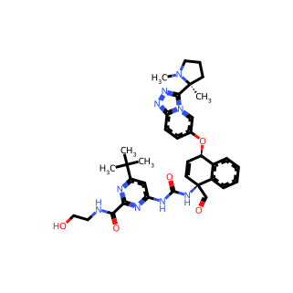 CN1CCC[C@@]1(C)c1nnc2ccc(O[C@@H]3C=C[C@](C=O)(NC(=O)Nc4cc(C(C)(C)C)nc(C(=O)NCCO)n4)c4ccccc43)cn12